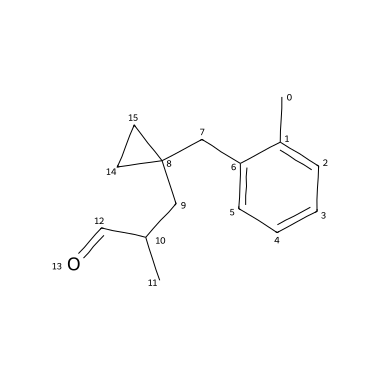 Cc1ccccc1CC1(CC(C)C=O)CC1